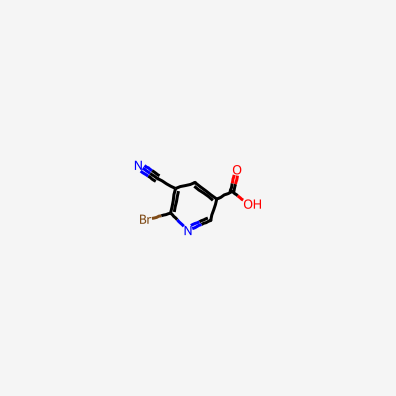 N#Cc1cc(C(=O)O)cnc1Br